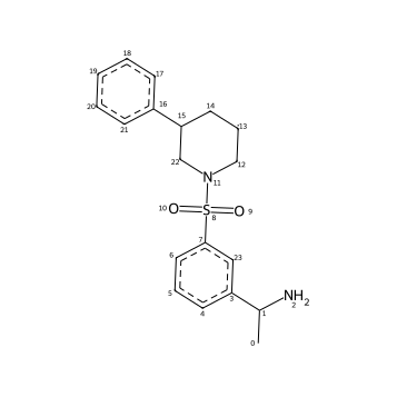 CC(N)c1cccc(S(=O)(=O)N2C[CH]CC(c3ccccc3)C2)c1